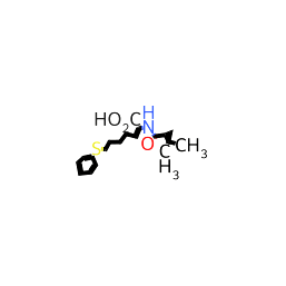 CC1(C)CC1C(=O)N/C(=C/CCCCSc1ccccc1)C(=O)O